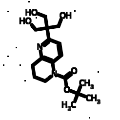 CC(C)(C)OC(=O)N1CCCc2nc(C(CO)(CO)CO)ccc21